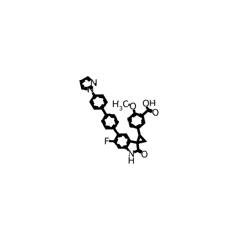 COc1ccc(C2CC23C(=O)Nc2cc(F)c(-c4ccc(-c5ccc(-n6cccn6)cc5)cc4)cc23)cc1C(=O)O